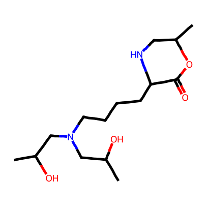 CC(O)CN(CCCCC1NCC(C)OC1=O)CC(C)O